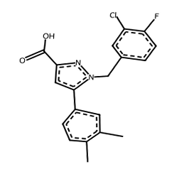 Cc1ccc(-c2cc(C(=O)O)nn2Cc2ccc(F)c(Cl)c2)cc1C